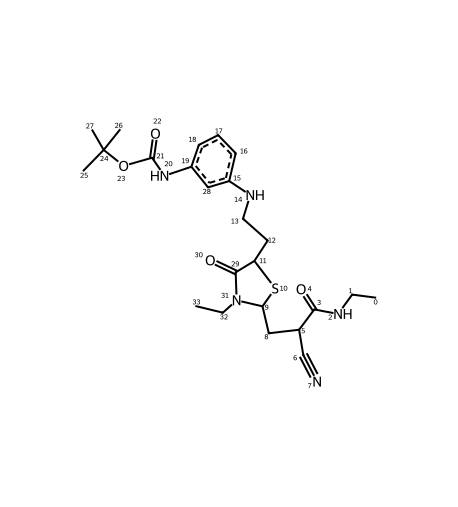 CCNC(=O)C(C#N)CC1SC(CCNc2cccc(NC(=O)OC(C)(C)C)c2)C(=O)N1CC